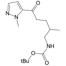 CC(CCC(=O)c1ccnn1C)CNC(=O)OC(C)(C)C